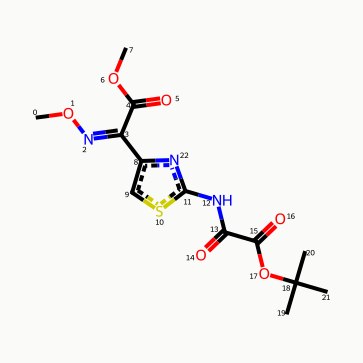 CON=C(C(=O)OC)c1csc(NC(=O)C(=O)OC(C)(C)C)n1